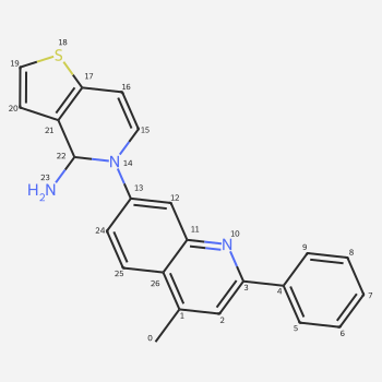 Cc1cc(-c2ccccc2)nc2cc(N3C=Cc4sccc4C3N)ccc12